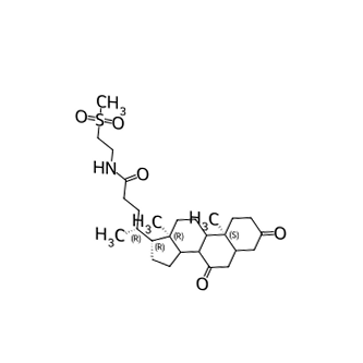 C[C@H](CCC(=O)NCCS(C)(=O)=O)[C@H]1CCC2C3C(=O)CC4CC(=O)CC[C@]4(C)C3CC[C@@]21C